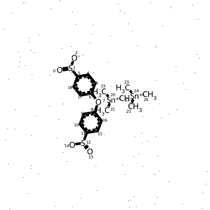 O=S([O-])c1ccc(Oc2ccc(S(=O)[O-])cc2)cc1.[CH3][Sn+]([CH3])[CH3].[CH3][Sn+]([CH3])[CH3]